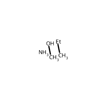 CCC.CO.N